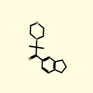 CC(C)(C(=O)c1ccc2c(c1)CCC2)N1CCOCC1